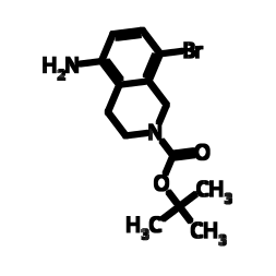 CC(C)(C)OC(=O)N1CCc2c(N)ccc(Br)c2C1